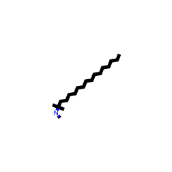 CCCCCCCCCCCCCCCC(C)(C)[N]C